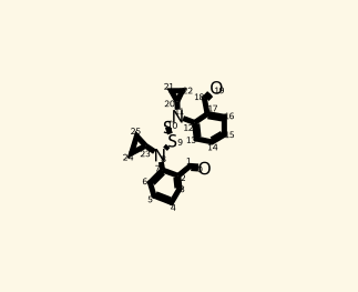 O=Cc1ccccc1N(SSN(c1ccccc1C=O)C1CC1)C1CC1